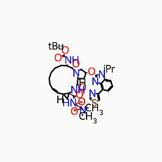 CC(C)n1c(O[C@@H]2C[C@H]3C(=O)N[C@]4(C(=O)NS(=O)(=O)N(C)C)C[C@H]4/C=C\CCCCC[C@H](NC(=O)OC(C)(C)C)C(=O)N3C2)nc2c(-c3cscn3)cccc21